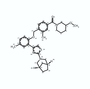 COC1CCCN(C(=O)c2ccc(COc3ccc(C)cc3-c3csc(N4C[C@@H]5CC[C@@H](C5)C4)n3)c(C)c2)C1